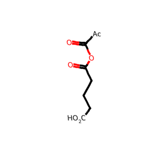 CC(=O)C(=O)OC(=O)CCCC(=O)O